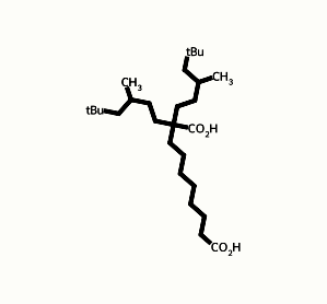 CC(CCC(CCCCCCCC(=O)O)(CCC(C)CC(C)(C)C)C(=O)O)CC(C)(C)C